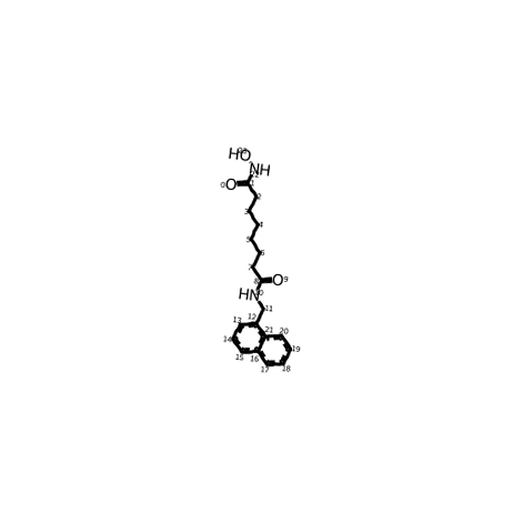 O=C(CCCCCCC(=O)NCc1cccc2ccccc12)NO